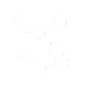 Cc1cc(Cl)cc(C(=O)NCC2CC2)c1NC(=O)c1cc(CC2COC2)nn1-c1ncccc1Cl